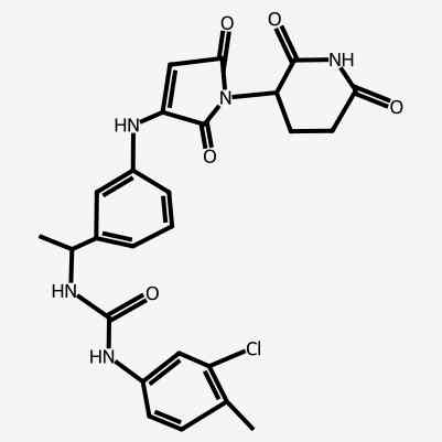 Cc1ccc(NC(=O)NC(C)c2cccc(NC3=CC(=O)N(C4CCC(=O)NC4=O)C3=O)c2)cc1Cl